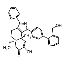 C[C@H]1C(=O)C(C#N)=C[C@@]2(C)c3c(c(-c4ccccc4)nn3-c3ccc(-c4ccccc4CO)cc3)CC[C@H]12